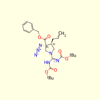 C=CC[C@H]1CN(/C(=N\C(=O)OC(C)(C)C)NC(=O)OC(C)(C)C)C[C@@]1(N=[N+]=[N-])C(=O)OCc1ccccc1